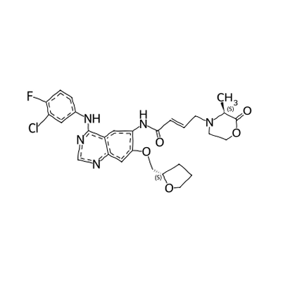 C[C@H]1C(=O)OCCN1CC=CC(=O)Nc1cc2c(Nc3ccc(F)c(Cl)c3)ncnc2cc1OC[C@@H]1CCCO1